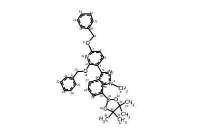 Cn1nc(-c2ccc(OCc3ccccc3)nc2OCc2ccccc2)c2cccc(B3OC(C)(C)C(C)(C)O3)c21